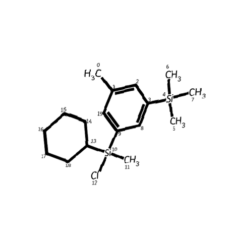 Cc1cc([Si](C)(C)C)cc([Si](C)(Cl)C2CCCCC2)c1